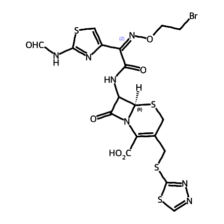 O=CNc1nc(/C(=N/OCCBr)C(=O)NC2C(=O)N3C(C(=O)O)=C(CSc4nncs4)CS[C@H]23)cs1